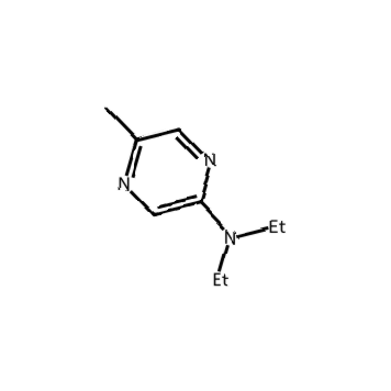 CCN(CC)c1cnc(C)cn1